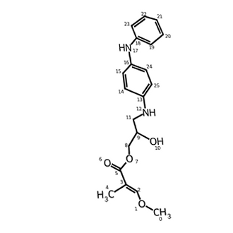 COC=C(C)C(=O)OCC(O)CNc1ccc(Nc2ccccc2)cc1